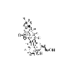 CCC(C)(C)C(=O)O[C@H]1C[C@@H](C=NO)C[C@]2(O)C=C[C@H](C)[C@H](CC[C@@H]3C[C@@H](O[Si](C)(C)C(C)(C)C)CC(=O)O3)[C@@H]12